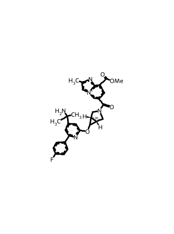 COC(=O)c1cc(C(=O)N2C[C@@H]3C(Oc4cc(C(C)(C)N)cc(-c5ccc(F)cc5)n4)[C@@H]3C2)cn2cc(C)nc12